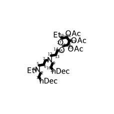 CCCCCCCCCCCCN(CC)CCCN(CCCCCCCCCCCC)CCCOC1OC(CC)C(OC(C)=O)C(OC(C)=O)C1OC(C)=O